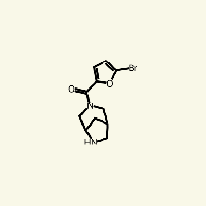 O=C(c1ccc(Br)o1)N1CC2CNC(C2)C1